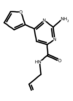 C=CCNC(=O)c1cc(-c2ccco2)nc(N)n1